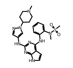 CN1CCC(n2cc(Nc3nc(Nc4ccccc4N(C)S(C)(=O)=O)c4cc[nH]c4n3)cn2)CC1